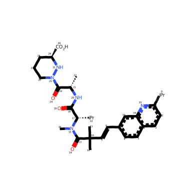 CC(C)c1ccc2ccc(/C=C/C(C)(C)C(=O)N(C)[C@H](C(=O)N[C@@H](C)C(=O)N3CCC[C@@H](C(=O)O)N3)C(C)C)cc2n1